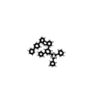 c1ccc(-c2ccc(-c3cccc4c3Cc3c(-c5cc(-c6ccccc6)cc(-c6nc(-c7ccccc7)nc(-c7ccccc7)n6)c5)cccc3-4)cc2)cc1